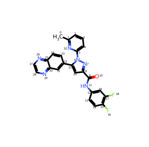 Cc1cccc(-n2nc(C(=O)Nc3ccc(F)c(F)c3)cc2-c2ccc3nccnc3c2)n1